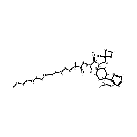 COCCOCCOCCOCCNC(=O)CN1C[C@]2(CC[C@@](c3ccccc3)(N(C)C)CC2)N(CC2(O)CCC2)C1=O